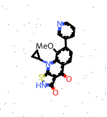 COc1c(-c2cccnc2)ccc2c(=O)c3c(=O)[nH]sc3n(C3CC3)c12